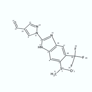 C[S+]([O-])c1cc2[nH]c(-n3cc([C]=O)cn3)nc2cc1C(F)(F)F